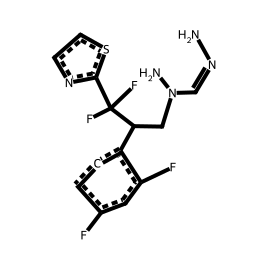 N/N=C\N(N)CC(c1ccc(F)cc1F)C(F)(F)c1nccs1